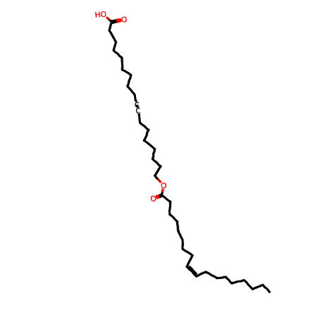 CCCCCCCC/C=C\CCCCCCCC(=O)OCCCCCCCCCCCCCCCCCC(=O)O